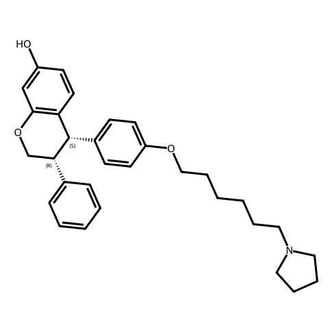 Oc1ccc2c(c1)OC[C@@H](c1ccccc1)[C@H]2c1ccc(OCCCCCCN2CCCC2)cc1